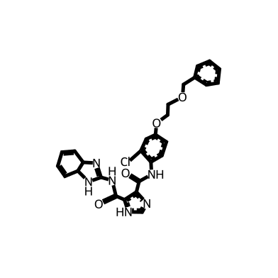 O=C(Nc1ccc(OCCOCc2ccccc2)cc1Cl)c1nc[nH]c1C(=O)NC1=NC2C=CC=CC2N1